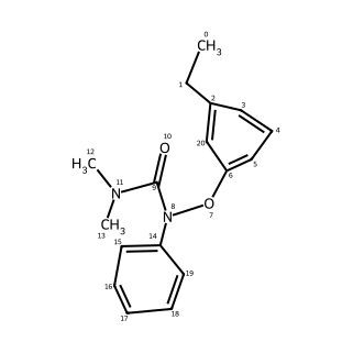 CCc1cccc(ON(C(=O)N(C)C)c2ccccc2)c1